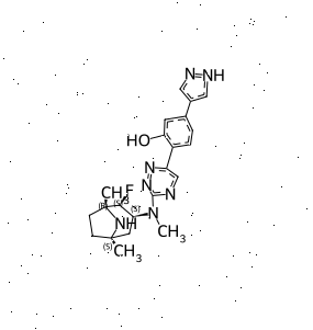 CN(c1ncc(-c2ccc(-c3cn[nH]c3)cc2O)nn1)[C@H]1C[C@]2(C)CC[C@@](C)(N2)[C@H]1F